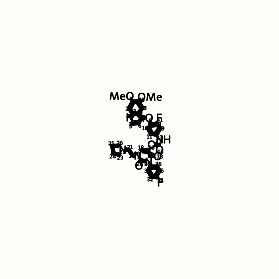 COc1cc2nccc(Oc3ccc(NC(=O)Oc4cn(CCN5CCCC5)c(=O)n(-c5ccc(F)cc5)c4=O)cc3F)c2cc1OC